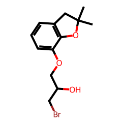 CC1(C)Cc2cccc(OCC(O)CBr)c2O1